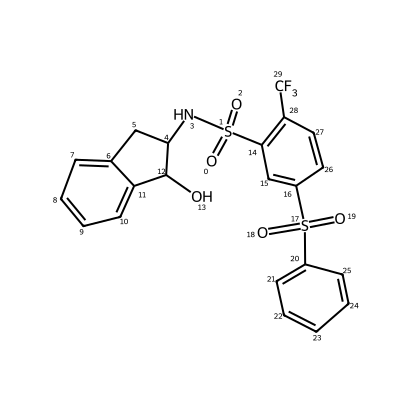 O=S(=O)(NC1Cc2ccccc2C1O)c1cc(S(=O)(=O)c2ccccc2)ccc1C(F)(F)F